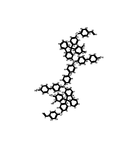 C=Cc1ccc(Oc2ccc(C3(c4ccc(F)c(F)c4)c4ccccc4-c4ccc(N(c5ccc(C6=CCC(F)C=C6)cc5)c5ccc(-c6ccc(N(c7ccc(-c8ccc(F)cc8)cc7)c7ccc8c(c7)C(c7ccc(Oc9ccc(C=C)cc9)cc7)(c7ccc(F)c(F)c7)c7ccccc7-8)cc6)cc5)cc43)cc2)cc1